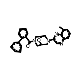 Cc1cccc2ncc(N3CC4CN(C(=O)c5ccccc5-c5ccccc5)CC(C3)O4)nc12